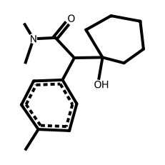 Cc1ccc(C(C(=O)N(C)C)C2(O)CCCCC2)cc1